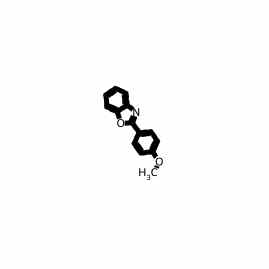 COc1ccc(-c2nc3ccccc3o2)cc1